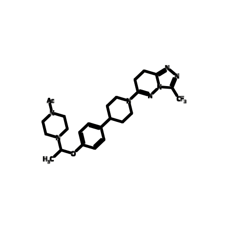 CC(=O)N1CCN(C(C)Oc2ccc(C3CCN(C4=Nn5c(nnc5C(F)(F)F)CC4)CC3)cc2)CC1